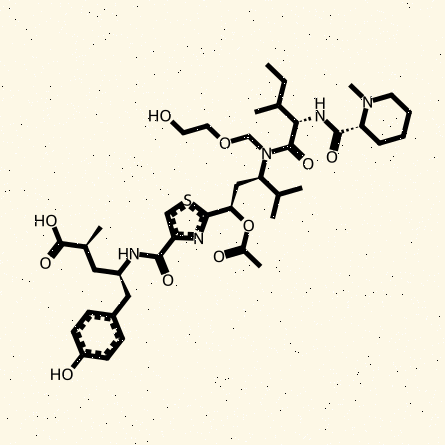 CCC(C)[C@H](NC(=O)[C@H]1CCCCN1C)C(=O)N(COCCO)[C@H](C[C@@H](OC(C)=O)c1nc(C(=O)N[C@@H](Cc2ccc(O)cc2)C[C@H](C)C(=O)O)cs1)C(C)C